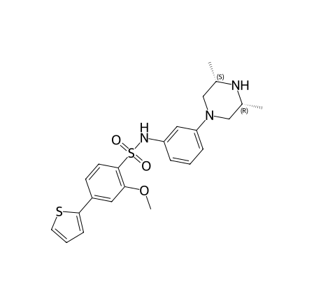 COc1cc(-c2cccs2)ccc1S(=O)(=O)Nc1cccc(N2C[C@@H](C)N[C@@H](C)C2)c1